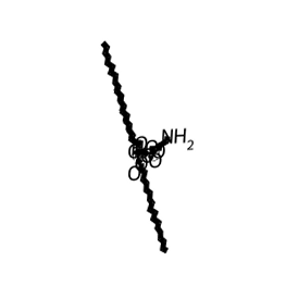 CCCCCCCCCC=CC=CC=CC=CC=CC=CC(=O)O[C@H](COC(=O)CCCCCCCCCCCCCCCCC)COP(=O)(O)OCCN